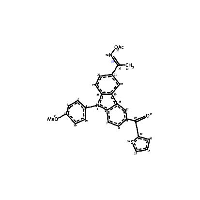 COc1ccc(-n2c3ccc(C(=O)c4cccs4)cc3c3cc(/C(C)=N/OC(C)=O)ccc32)cc1